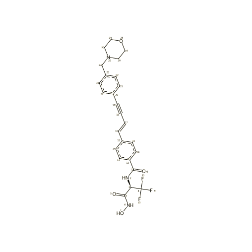 O=C(N[C@H](C(=O)NO)C(F)(F)F)c1ccc(/C=C/C#Cc2ccc(CN3CCOCC3)cc2)cc1